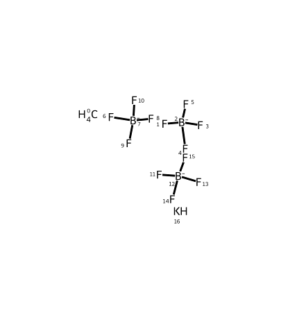 C.F[B-](F)(F)F.F[B-](F)(F)F.F[B-](F)(F)F.[KH]